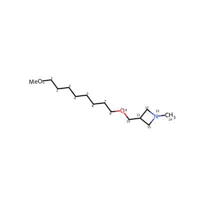 COCCCCCCCCOCC1CN(C)C1